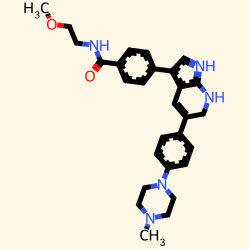 COCCNC(=O)c1ccc(-c2c[nH]c3c2C=C(c2ccc(N4CCN(C)CC4)cc2)CN3)cc1